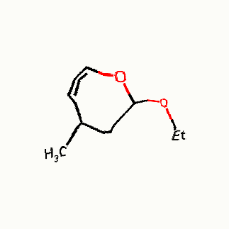 CCOC1CC(C)C=CO1